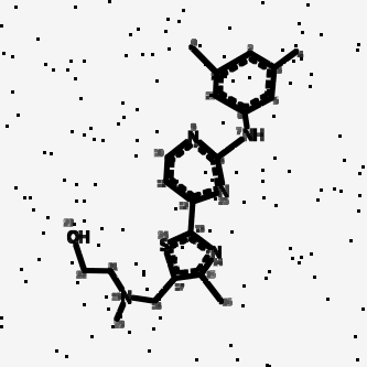 Cc1cc(C)cc(Nc2nccc(-c3nc(C)c(CN(C)CCO)s3)n2)c1